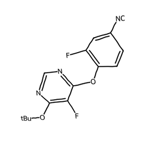 [C-]#[N+]c1ccc(Oc2ncnc(OC(C)(C)C)c2F)c(F)c1